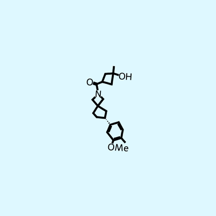 COc1cc([C@@H]2CCC3(C2)CN(C(=O)C2CC(C)(O)C2)C3)ccc1C